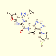 Cc1cc2c(NC3(C)CC3)nc(C(=O)N3CCc4c(ncnc4N4CC[C@H](F)C4)C3)nc2o1